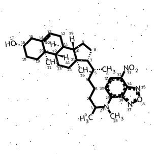 CC(CCC[C@@H](C)[C@H]1CC[C@H]2[C@@H]3CC=C4C[C@@H](O)CC[C@]4(C)[C@H]3CC[C@]12C)N(C)c1ccc([N+](=O)[O-])c2nonc12